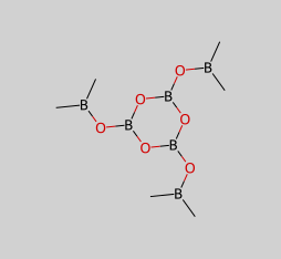 CB(C)OB1OB(OB(C)C)OB(OB(C)C)O1